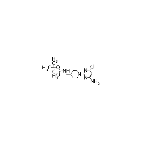 CC(C)(C)OC(=O)NCC1CCN(c2nc(N)cc(Cl)n2)CC1